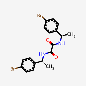 C[C@@H](NC(=O)C(=O)N[C@H](C)c1ccc(Br)cc1)c1ccc(Br)cc1